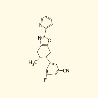 CC1Cc2nc(-c3ccccn3)oc2CC1c1cc(F)cc(C#N)c1